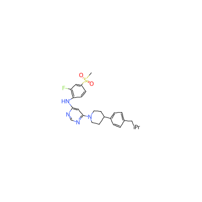 CC(C)Cc1ccc(C2CCN(c3cc(Nc4ccc(S(C)(=O)=O)cc4F)ncn3)CC2)cc1